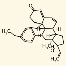 C=C[C@]1(O)CC[C@H]2[C@@H]3C=CC4=CC(=O)CC[C@@]45Cc4cc(CC)ccc4[C@@H](C[C@@]21C)[C@@H]35